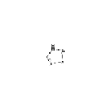 [C]1=[Bi][Bi]=[Bi][BiH]1